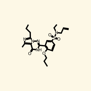 C=CCN(CC)S(=O)(=O)c1ccc(OCCC)c(-c2nn3c(CCC)nc(C)c3c(=O)[nH]2)c1